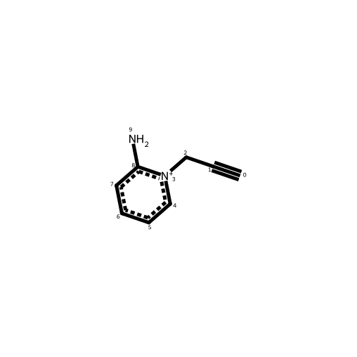 C#CC[n+]1ccccc1N